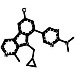 Cc1nccc2c3cc(Cl)cc(-c4cnc(N(C)C)nc4)c3n(CC3CC3)c12